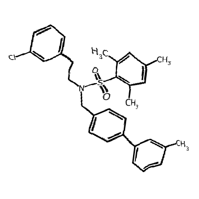 Cc1cccc(-c2ccc(CN(CCc3cccc(Cl)c3)S(=O)(=O)c3c(C)cc(C)cc3C)cc2)c1